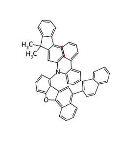 CC1(C)c2ccccc2-c2ccc(N(c3ccccc3-c3ccccc3)c3cccc4oc5c6ccccc6c(-c6ccc7ccccc7c6)cc5c34)cc21